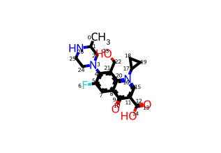 CC1CN(c2c(F)cc3c(=O)c(C(=O)O)cn(C4CC4)c3c2CO)CCN1